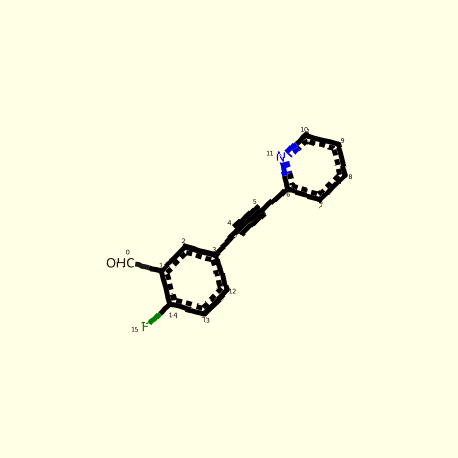 O=Cc1cc(C#Cc2ccccn2)ccc1F